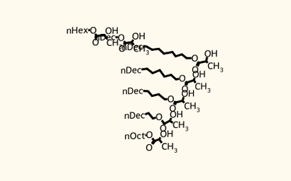 CCCCCCCCCCCCCCCCCCOC(=O)C(C)O.CCCCCCCCCCCCCCCCOC(=O)C(C)O.CCCCCCCCCCCCCCOC(=O)C(C)O.CCCCCCCCCCCCOC(=O)C(C)O.CCCCCCCCCCOC(=O)C(C)O.CCCCCCCCOC(=O)C(C)O.CCCCCCOC(=O)C(C)O